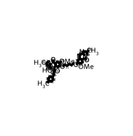 COc1cc2c(cc1OCCCCCOc1cc3c(cc1OC)C(=O)N1C=C(C)C[C@H]1[C@H](O)N3C(=O)OCc1ccc(C)cc1)N=C[C@@H]1CC(C)=CN1C2=O